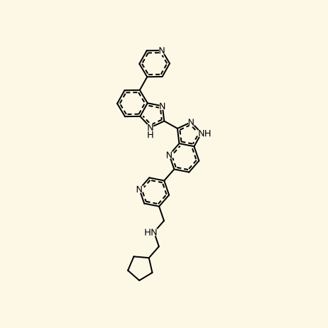 c1cc(-c2ccncc2)c2nc(-c3n[nH]c4ccc(-c5cncc(CNCC6CCCC6)c5)nc34)[nH]c2c1